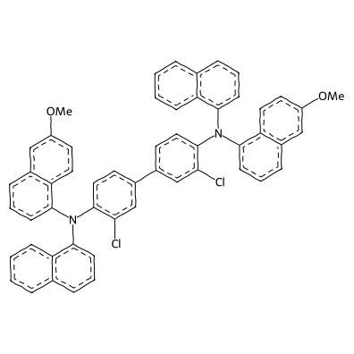 COc1ccc2c(N(c3ccc(-c4ccc(N(c5cccc6ccccc56)c5cccc6cc(OC)ccc56)c(Cl)c4)cc3Cl)c3cccc4ccccc34)cccc2c1